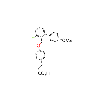 COc1ccc(-c2cccc(F)c2COc2ccc(CCC(=O)O)cc2)cc1